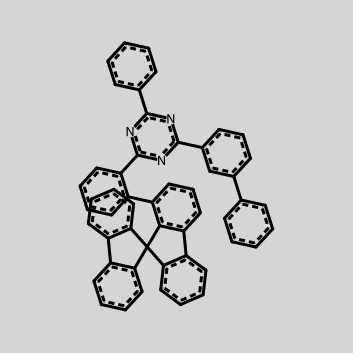 c1ccc(-c2cccc(-c3nc(-c4ccccc4)nc(-c4ccccc4-c4cccc5c4C4(c6ccccc6-c6ccccc64)c4ccccc4-5)n3)c2)cc1